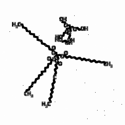 CCCCCCCCCCCCCCCCCC(=O)OCC(COC(=O)CCCCCCCCCCCCCCCCC)(COC(=O)CCCCCCCCCCCCCCCCC)COC(=O)CCCCCCCCCCCCCCCCC.OCCO.OCCOCC(COCCO)(COCCO)COCCO